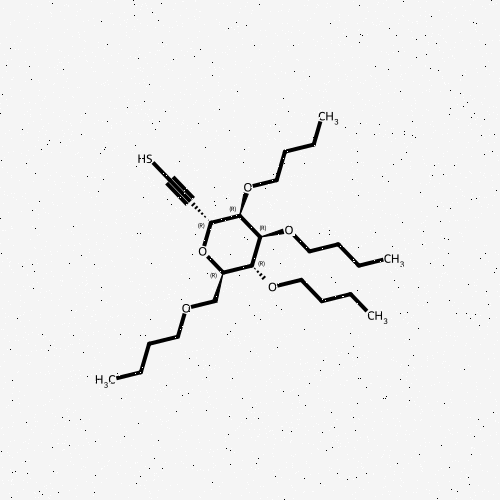 CCCCOC[C@H]1O[C@H](C#CS)[C@@H](OCCCC)[C@@H](OCCCC)[C@@H]1OCCCC